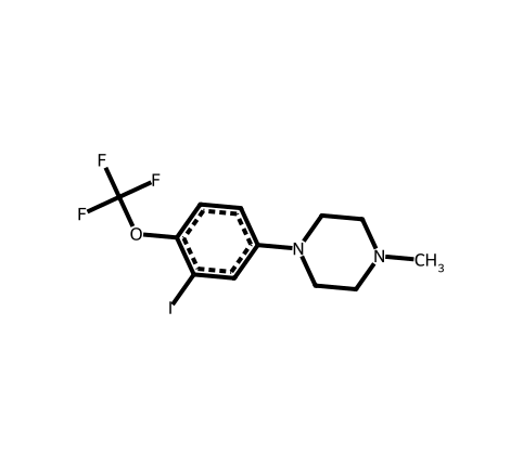 CN1CCN(c2ccc(OC(F)(F)F)c(I)c2)CC1